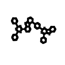 c1ccc(-c2nc(-c3ccccc3)nc(-c3cccc4c3sc3cccc(-c5ccc(-c6nc(-c7ccccc7)c7sc8ccccc8c7n6)cc5)c34)n2)cc1